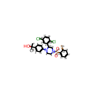 CC(O)(c1ccc(N2CCN(S(=O)(=O)C3=CC=CCC3=S)CC2c2cc(Cl)ccc2Cl)cc1)C(F)(F)F